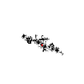 CCC(C)C(NC(=O)CNC(=O)[C@H](CCC(=O)C(=O)NC)NC(=O)CNC(=O)C1CCCN1C(=O)CNC(C)=O)C(=O)NCC(=O)N1CCC[C@H]1C(=O)NCC(N)=O